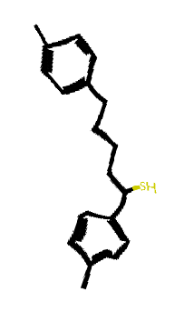 Cc1ccc(CCCCC(S)c2ccc(C)cc2)cc1